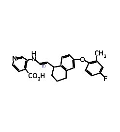 Cc1cc(F)ccc1Oc1ccc2c(c1)CCCC2/C=C/Nc1cnccc1C(=O)O